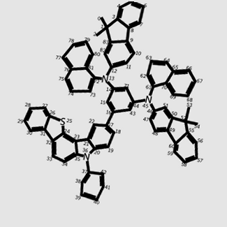 CC1(C)c2ccccc2-c2ccc(N(c3cc(-c4ccc5c(c4)c4c6sc7ccccc7c6ccc4n5-c4ccccc4)cc(N(c4ccc5c(c4)C(C)(C)c4ccccc4-5)c4cccc5ccccc45)c3)c3cccc4ccccc34)cc21